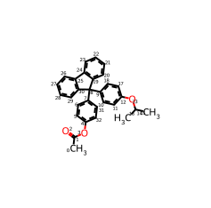 CC(=O)Oc1ccc(C2(c3ccc(OC(C)C)cc3)c3ccccc3-c3ccccc32)cc1